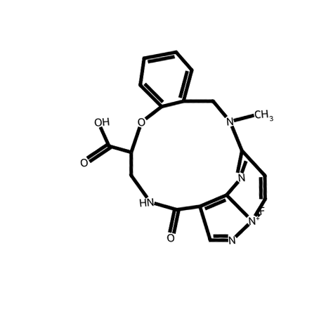 CN1Cc2ccccc2OC(C(=O)O)CNC(=O)C2=C3N=C1C=C[N+]3(F)N=C2